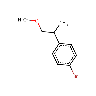 COCC(C)c1ccc(Br)cc1